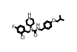 CC(C)COc1ccc(CNC(=O)N(Cc2ccc(F)cc2Cl)C2CCNCC2)cc1